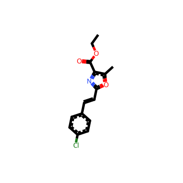 CCOC(=O)c1nc(C=Cc2ccc(Cl)cc2)oc1C